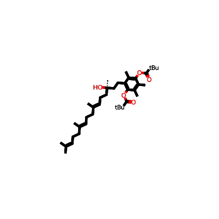 CC(C)=CCC/C(C)=C/CC/C(C)=C/CC[C@@](C)(O)CCc1c(C)c(OC(=O)C(C)(C)C)c(C)c(C)c1OC(=O)C(C)(C)C